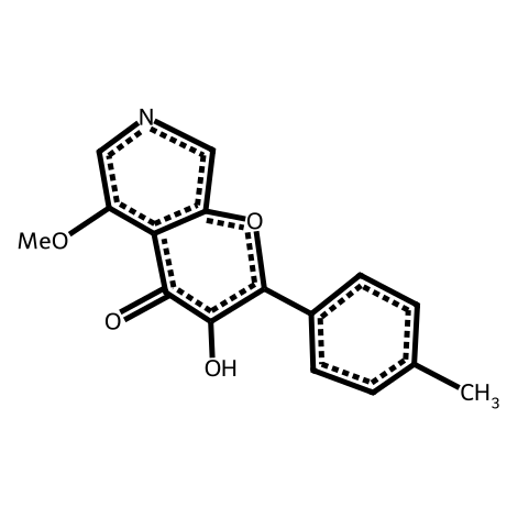 COc1cncc2oc(-c3ccc(C)cc3)c(O)c(=O)c12